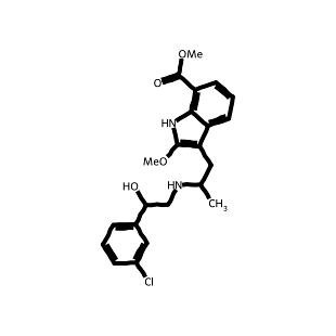 COC(=O)c1cccc2c(CC(C)NCC(O)c3cccc(Cl)c3)c(OC)[nH]c12